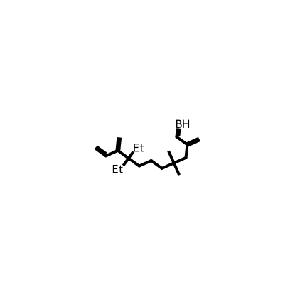 B=CC(=C)CC(C)(C)CCCC(CC)(CC)C(=C)C=C